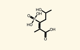 CC(C(=O)O)=C(CC(C)O)P(=O)(O)O